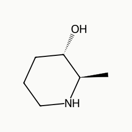 C[C@H]1NCCC[C@@H]1O